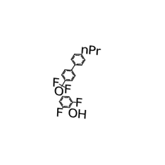 CCCc1ccc(-c2ccc(C(F)(F)Oc3cc(F)c(O)c(F)c3)cc2)cc1